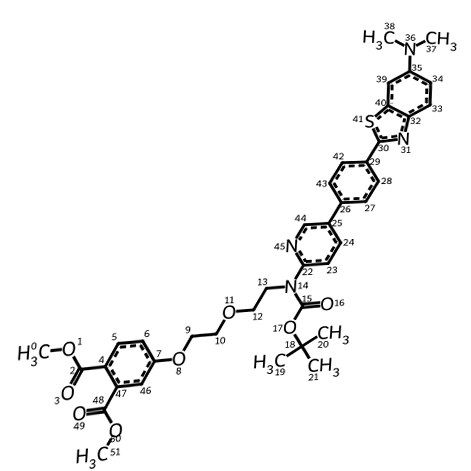 COC(=O)c1ccc(OCCOCCN(C(=O)OC(C)(C)C)c2ccc(-c3ccc(-c4nc5ccc(N(C)C)cc5s4)cc3)cn2)cc1C(=O)OC